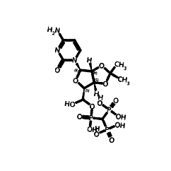 CC1(C)O[C@@H]2[C@H](O1)[C@@H](C(O)OP(=O)(O)C(P(=O)(O)O)P(=O)(O)O)O[C@H]2n1ccc(N)nc1=O